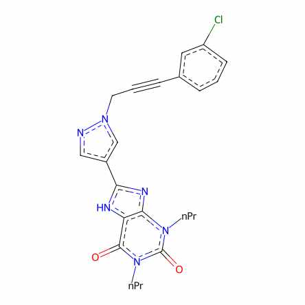 CCCn1c(=O)c2[nH]c(-c3cnn(CC#Cc4cccc(Cl)c4)c3)nc2n(CCC)c1=O